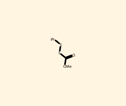 [CH2]OC(=O)SSC(C)C